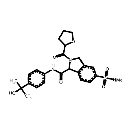 CNS(=O)(=O)c1ccc2c(c1)CN(C(=O)C1CCCO1)C2C(=O)Nc1ccc(C(C)(O)C(F)(F)F)cc1